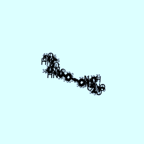 COC(=O)N[C@H](C(=O)N1C[C@@H](C)C[C@H]1c1nc2cc(C#Cc3ccc(-c4cc5[nH]c([C@@H]6C[C@H](C)CN6C(=O)[C@@H](NC(=O)OC)C(C)C)nc5s4)cc3)ccc2[nH]1)C(C)C